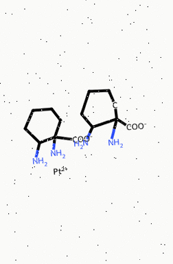 NC1CCCCC1(N)C(=O)[O-].NC1CCCCC1(N)C(=O)[O-].[Pt+2]